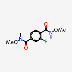 CON(C)C(=O)c1ccc(C(=O)N(C)OC)c(F)c1